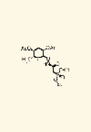 CCOP(=O)(CC(=O)NOC1O[C@H](C)[C@@H](OC(C)=O)C[C@@H]1OC(C)=O)OCC